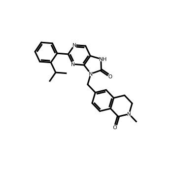 CC(C)c1ccccc1-c1ncc2[nH]c(=O)n(Cc3ccc4c(c3)CCN(C)C4=O)c2n1